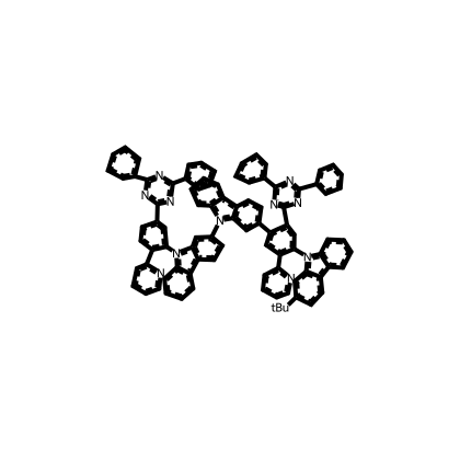 CC(C)(C)c1ccc2c3ccccc3n(-c3cc(-c4nc(-c5ccccc5)nc(-c5ccccc5)n4)c(-c4ccc5c6ccccc6n(-c6ccc7c8ccccc8n(-c8cc(-c9nc(-c%10ccccc%10)nc(-c%10ccccc%10)n9)ccc8-c8ccccn8)c7c6)c5c4)cc3-c3ccccn3)c2c1